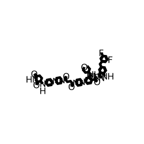 O=C1CCC(Nc2ccc(N3CCN(C(=O)CCC(=O)N4CCN(c5ccc(C(=O)Nc6n[nH]c7ccc(Cc8cc(F)cc(F)c8)cc67)c(NC6CCOCC6)c5)CC4)CC3)cc2)C(=O)N1